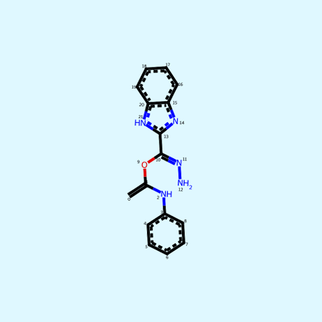 C=C(Nc1ccccc1)O/C(=N\N)c1nc2ccccc2[nH]1